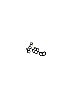 CC1(C)c2ccccc2-c2c1cc1c(sc3ccccc31)c2-c1ccc2ccc3c(-c4ccc5ccccc5c4)ccc4ccc1c2c43